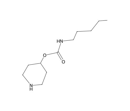 CCCCCNC(=O)OC1CCNCC1